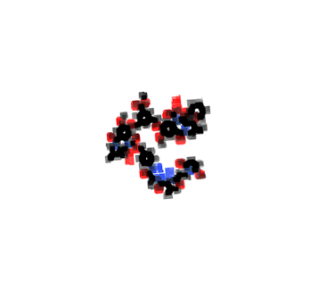 C=C1C[C@H]2[C@H](O)N(C(=O)OCc3ccc(NC(=O)[C@H](C)NC(=O)[C@@H](NC(=O)CCN4C(=O)C=CC4=O)C(C)C)cc3)c3cc(OCc4cc(COc5cc6c(cc5OC)C(=O)N5CC(=C)C[C@H]5[C@H](OC5CCCCO5)N6C(=O)O)cc(C(=O)OC)c4)c(OC)cc3C(=O)N2C1